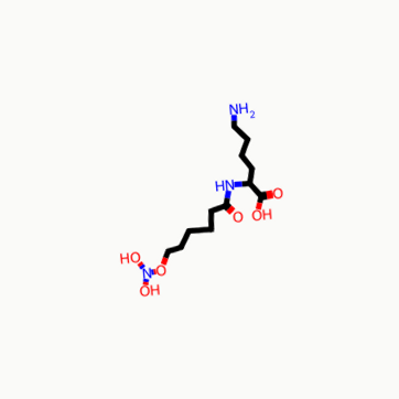 NCCCCC(NC(=O)CCCCCON(O)O)C(=O)O